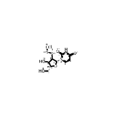 O=c1ccn([C@@H]2O[C@H](CO)C(O)C2SSC(Cl)(Cl)Cl)c(=O)[nH]1